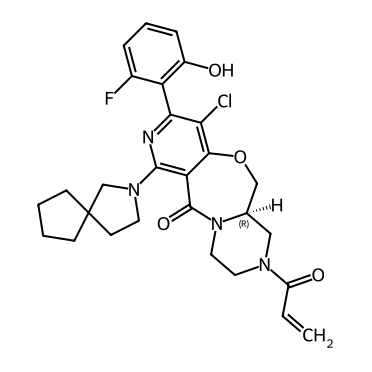 C=CC(=O)N1CCN2C(=O)c3c(N4CCC5(CCCC5)C4)nc(-c4c(O)cccc4F)c(Cl)c3OC[C@H]2C1